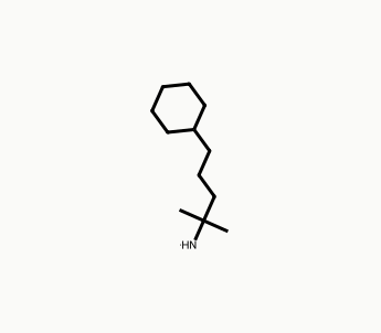 CC(C)([NH])CCCC1CCCCC1